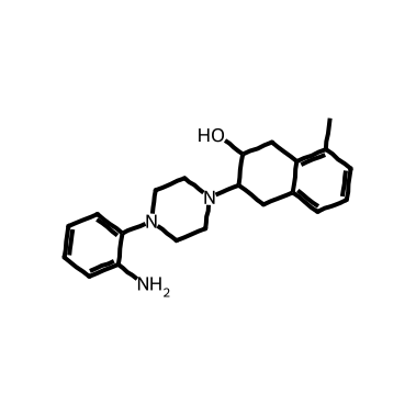 Cc1cccc2c1CC(O)C(N1CCN(c3ccccc3N)CC1)C2